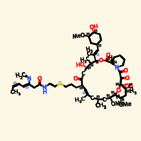 C=N/C(=C\C=C/C)CC(=O)NCCSCCC[C@@H]1/C=C(\C)C[C@H](C)C[C@H](OC)[C@H]2O[C@@](O)(C(=O)C(=O)N3CCCC[C@H]3C(=O)O[C@H](/C(C)=C/[C@@H]3CC[C@@H](O)[C@H](OC)C3)[C@H](C)[C@@H](O)CC1=O)[C@H](C)C[C@@H]2OC